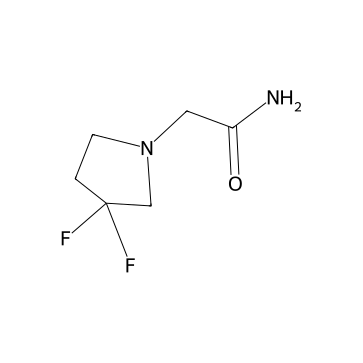 NC(=O)CN1CCC(F)(F)C1